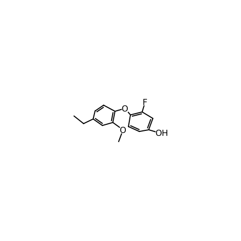 CCc1ccc(Oc2ccc(O)cc2F)c(OC)c1